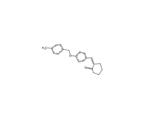 Cc1ccc(COc2ccc(/C=C3/CCCCC3=O)cc2)cc1